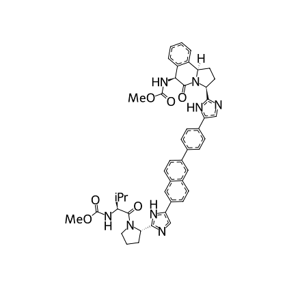 COC(=O)N[C@@H]1C(=O)N2[C@H](CC[C@H]2c2ncc(-c3ccc(-c4ccc5cc(-c6cnc([C@@H]7CCCN7C(=O)[C@@H](NC(=O)OC)C(C)C)[nH]6)ccc5c4)cc3)[nH]2)c2ccccc21